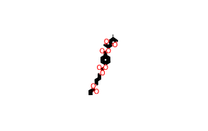 C=CC(=O)OCCCCOC(=O)Oc1ccc(C(=O)O[C@H]2COC3C2OC[C@H]3C)cc1